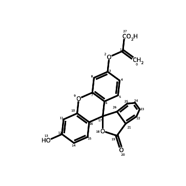 C=C(Oc1ccc2c(c1)Oc1cc(O)ccc1C21OC(=O)c2ccccc21)C(=O)O